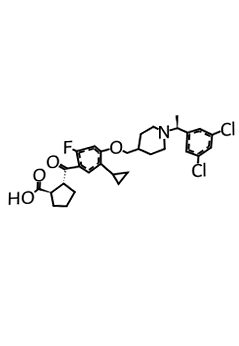 C[C@@H](c1cc(Cl)cc(Cl)c1)N1CCC(COc2cc(F)c(C(=O)[C@@H]3CCC[C@H]3C(=O)O)cc2C2CC2)CC1